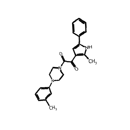 Cc1cccc(N2CCN(C(=O)C(=O)c3cc(-c4ccccc4)[nH]c3C)CC2)c1